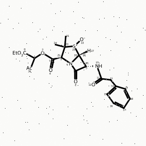 CCOC(=O)C(OC(=O)[C@@H]1N2C(=O)[C@@H](NC(=O)Cc3ccccc3)[C@H]2[S+]([O-])C1(C)C)C(C)=O